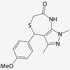 COc1ccc(C2SCC(=O)Nc3c2c(C)nn3C)cc1